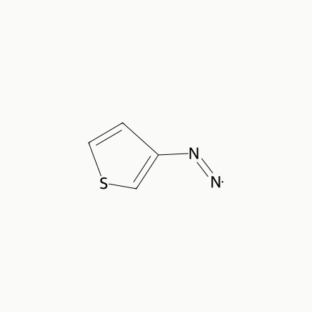 [N]=Nc1ccsc1